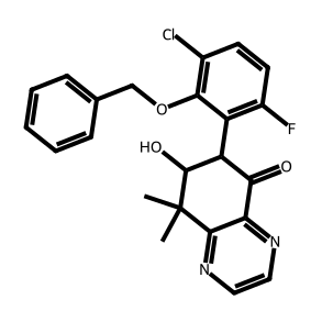 CC1(C)c2nccnc2C(=O)C(c2c(F)ccc(Cl)c2OCc2ccccc2)C1O